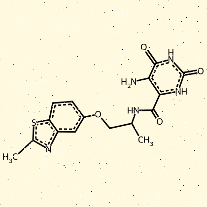 Cc1nc2cc(OCC(C)NC(=O)c3[nH]c(=O)[nH]c(=O)c3N)ccc2s1